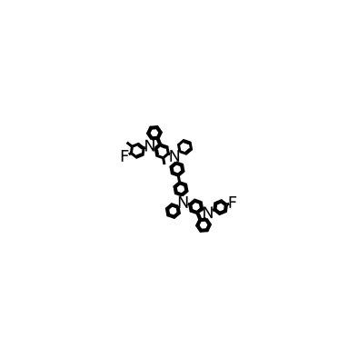 CC1C=C(n2c3c(c4ccccc42)=CC(N(c2ccc(-c4ccc(N(c5ccccc5)c5ccc6c(c5)c5ccccc5n6-c5ccc(F)cc5)cc4)cc2)C2C=CC=CC2)C(C)C=3)C=CC1F